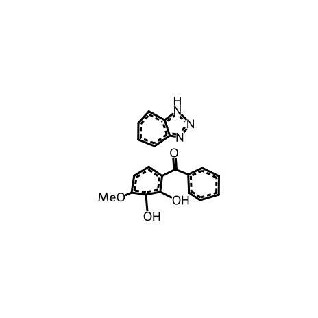 COc1ccc(C(=O)c2ccccc2)c(O)c1O.c1ccc2[nH]nnc2c1